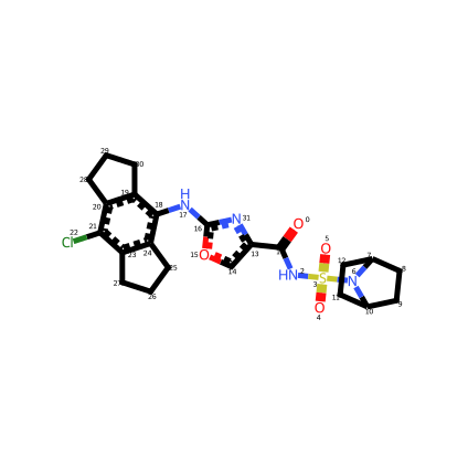 O=C(NS(=O)(=O)N1C2CCC1CC2)c1coc(Nc2c3c(c(Cl)c4c2CCC4)CCC3)n1